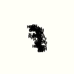 CC(C)=CCCC(C)(OC1OC(COC2OC(CO)C(O)C(O)C2O)C(O)C(O)C1O)C1CCC2(C)C1C(O)CC1C3(C)CCC(OC4OC(CO)C(O)C(O)C4OC4OC(CO)C(O)C(O)C4O)C(C)(C)C3CCC12C